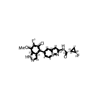 COc1c(F)c(Cl)c(-c2ccn3nc(NC(=O)[C@@H]4C[C@@H]4F)cc3c2)c2cn[nH]c12